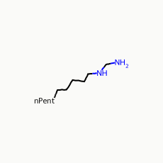 CCCCCCCCCCNCN